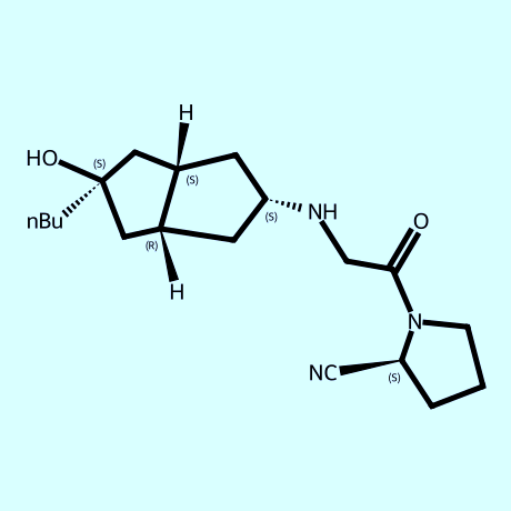 CCCC[C@@]1(O)C[C@H]2C[C@@H](NCC(=O)N3CCC[C@H]3C#N)C[C@H]2C1